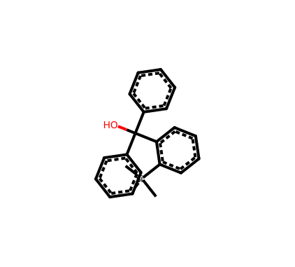 C[Si](C)(C)c1ccccc1C(O)(c1ccccc1)c1ccccc1